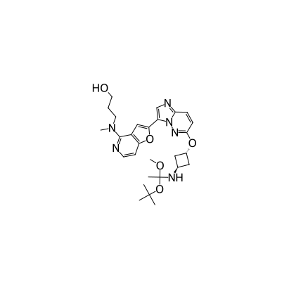 COC(C)(N[C@H]1C[C@H](Oc2ccc3ncc(-c4cc5c(N(C)CCCO)nccc5o4)n3n2)C1)OC(C)(C)C